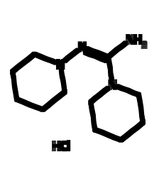 Cl.NC(=NN1CCCCC1)N1CCCCC1